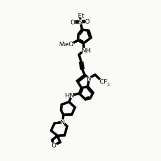 CCS(=O)(=O)c1ccc(NCC#Cc2cc3c(NC4CCC(N5CCC6(CC5)COC6)CC4)cccc3n2CC(F)(F)F)c(OC)c1